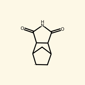 O=C1NC(=O)C2C3C[CH]C(C3)C12